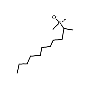 CCCCCCCCCC(C)[N+](C)(C)[O-]